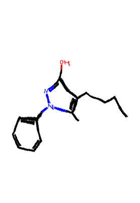 CCCCc1c(O)nn(-c2ccccc2)c1C